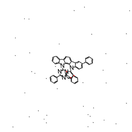 c1ccc(-c2ccc3c(c2)c2ccc4c5ccccc5n(-c5nc(-c6ccccc6)nc(-c6ccccc6)n5)c4c2n3-c2ccccc2)cc1